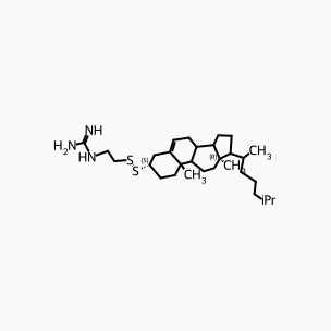 CC(C)CCCC(C)C1CCC2C3CC=C4C[C@@H](SSCCNC(=N)N)CCC4(C)C3CC[C@]12C